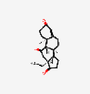 CC[C@]12CC(=O)[C@H]3[C@@H](CCC4=CC(=O)CC[C@@H]43)[C@@H]1CCC2=O